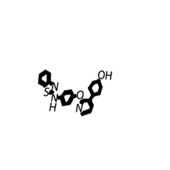 OC1CCC(c2cccnc2Oc2ccc(Nc3nc4ccccc4s3)cc2)CC1